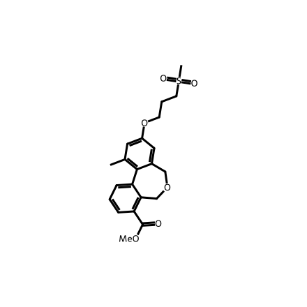 COC(=O)c1cccc2c1COCc1cc(OCCCS(C)(=O)=O)cc(C)c1-2